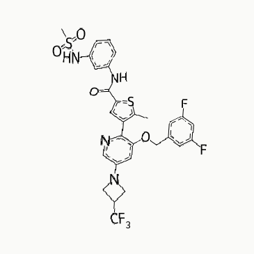 Cc1sc(C(=O)Nc2cccc(NS(C)(=O)=O)c2)cc1-c1ncc(N2CC(C(F)(F)F)C2)cc1OCc1cc(F)cc(F)c1